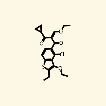 CCO/C=C(\C(=O)c1ccc2sc(CC)c(OCC)c2c1Cl)C(=O)C1CC1